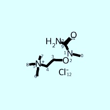 CN(OCC[N+](C)(C)C)C(N)=O.[Cl-]